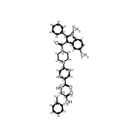 Cc1ccc2c(c1)c(C(=O)N1CCN(c3cnc(C(=O)N[C@@H](Cc4ccccc4)C(=O)O)cn3)CC1)c(-c1ccccc1)n2C